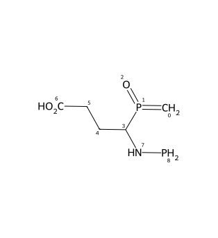 C=P(=O)C(CCC(=O)O)NP